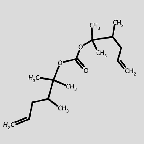 C=CCC(C)C(C)(C)OC(=O)OC(C)(C)C(C)CC=C